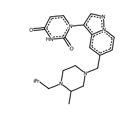 CC(C)CN1CCN(Cc2ccn3ncc(-n4ccc(=O)[nH]c4=O)c3c2)CC1C